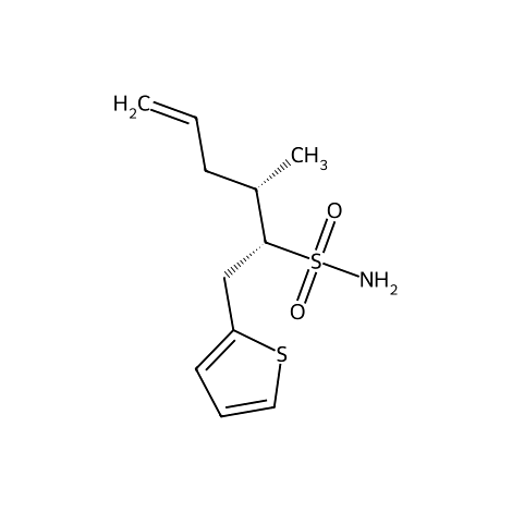 C=CC[C@H](C)[C@@H](Cc1cccs1)S(N)(=O)=O